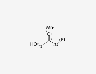 CCOC(=O)CO.[Mn]